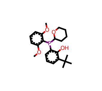 COc1cccc(OC)c1P(c1cccc(C(C)(C)C)c1O)C1CCCCO1